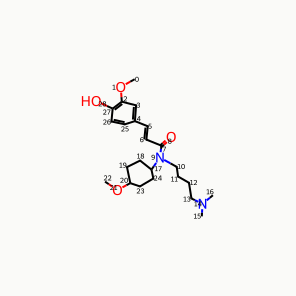 COc1cc(C=CC(=O)N(CCCCN(C)C)C2CCC(OC)CC2)ccc1O